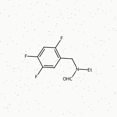 CCN(C=O)Cc1cc(F)c(F)cc1F